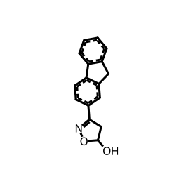 OC1CC(c2ccc3c(c2)Cc2ccccc2-3)=NO1